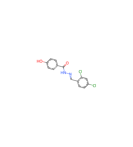 O=C(NN=Cc1ccc(Cl)cc1Cl)c1ccc(O)cc1